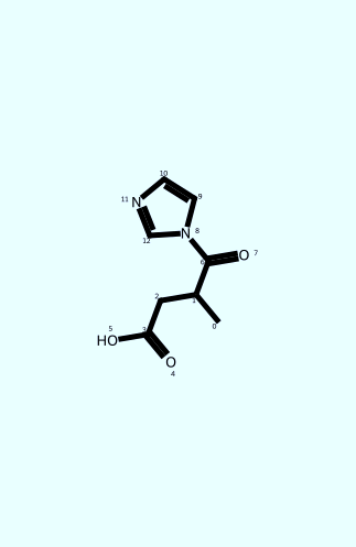 CC(CC(=O)O)C(=O)n1ccnc1